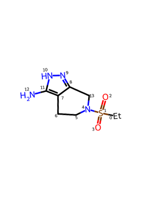 CCS(=O)(=O)N1CCc2c(n[nH]c2N)C1